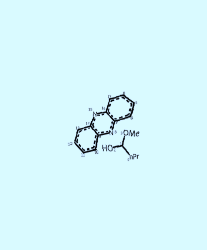 CCCC(O)OC.c1ccc2nc3ccccc3nc2c1